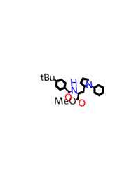 COC(=O)C(=Cc1cccn1-c1ccccc1)NC(=O)c1ccc(C(C)(C)C)cc1